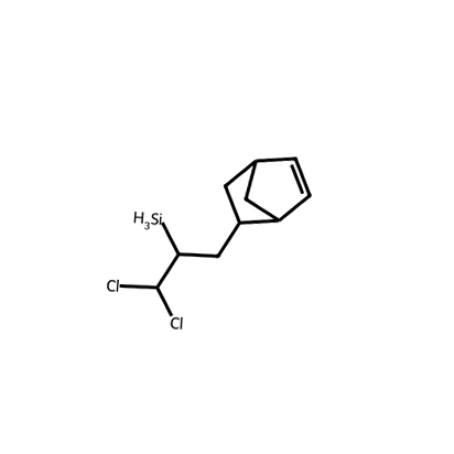 [SiH3]C(CC1CC2C=CC1C2)C(Cl)Cl